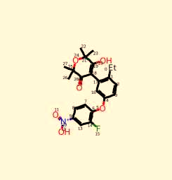 CCc1ccc(Oc2ccc([N+](=O)O)cc2F)cc1C1=C(O)C(C)(C)OC(C)(C)C1=O